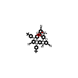 CSN1c2cc3c(cc2B2c4cc(C(C)(C)C)ccc4Oc4cc(C#N)cc1c42)B1c2cc4c(cc2N(SC)c2cc(C#N)cc(c21)O3)N(c1ccc(C(C)(C)C)cc1)c1cc(C#N)cc2c1B4c1cc(C(C)(C)C)ccc1N2c1ccc(C(C)(C)C)cc1